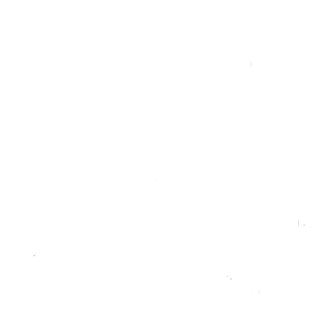 CC(C)(C)c1ccc([C](c2ccc(C(C)(C)C)cc2)=[Zr]([CH]2C=CC=C2)[CH]2c3cc(-c4ccccc4)c(C(C)(C)C)cc3-c3cc(C(C)(C)C)c(-c4ccccc4)cc32)cc1